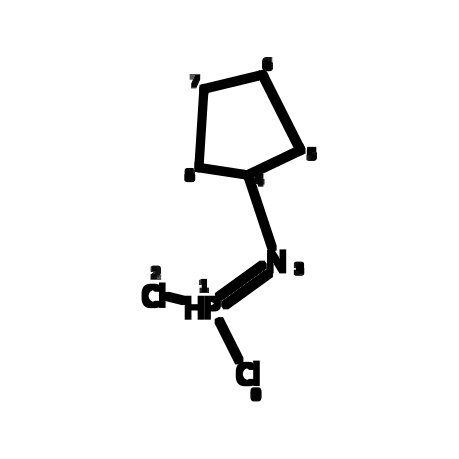 Cl[PH](Cl)=NC1CCCC1